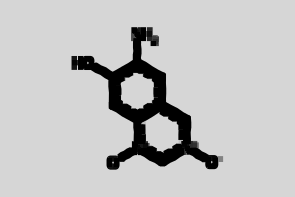 Nc1cc2c[n+]([O-])c[n+]([O-])c2cc1O